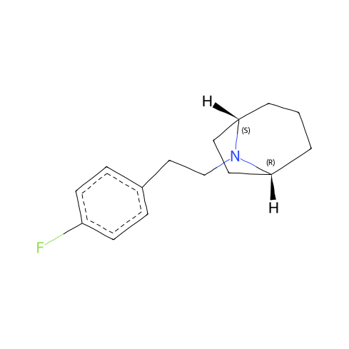 Fc1ccc(CCN2[C@@H]3CCC[C@H]2CC3)cc1